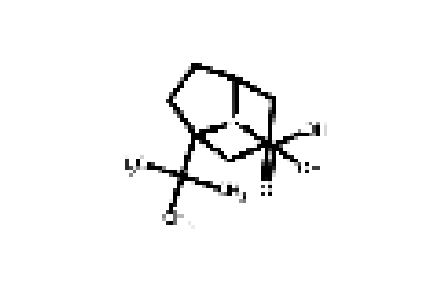 CC(C)(C)C12CCC(CC(O)C1)N2C(=O)O